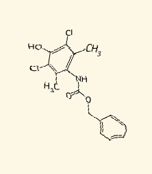 Cc1c(Cl)c(O)c(Cl)c(C)c1NC(=O)OCc1ccccc1